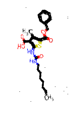 CCCCCCCCNC(=O)Nc1sc(C(=O)OCc2ccccc2)c(C)c1C(=O)O